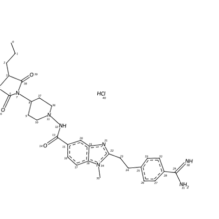 CCCC1OC(=O)N(C2CCN(NC(=O)c3ccc4c(c3)nc(CCc3ccc(C(=N)N)cc3)n4C)CC2)C1=O.Cl